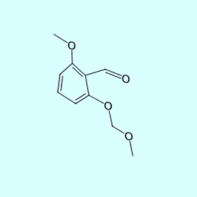 COCOc1cccc(OC)c1C=O